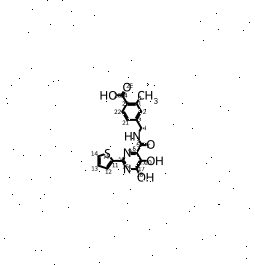 Cc1cc(CNC(=O)c2nc(-c3cccs3)nc(O)c2O)ccc1C(=O)O